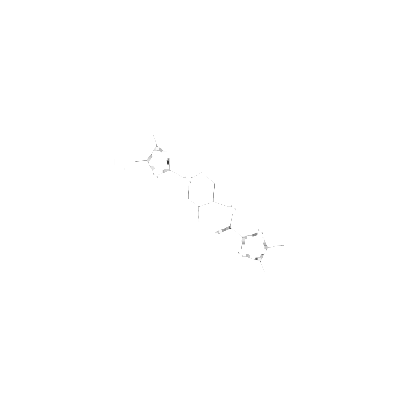 CCc1[nH]c(C(=O)NC2CCN(c3nc(C)c(C(=O)O)s3)CC2F)nc1Cl